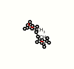 Cc1cc(-c2ccc(N(c3ccc(-c4cc5ccccc5c5ccccc45)cc3)c3ccccc3-c3ccc4sc5ccccc5c4c3)c(C)c2)ccc1N(c1ccc(-c2cc3ccccc3c3ccccc23)cc1)c1ccccc1-c1ccc2sc3ccccc3c2c1